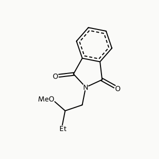 CCC(CN1C(=O)c2ccccc2C1=O)OC